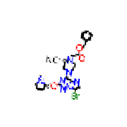 CN1CCC[C@H]1COc1nc(N2CCN(CC(=O)OCc3ccccc3)[C@@H](CC#N)C2)c2ncc(Br)n2n1